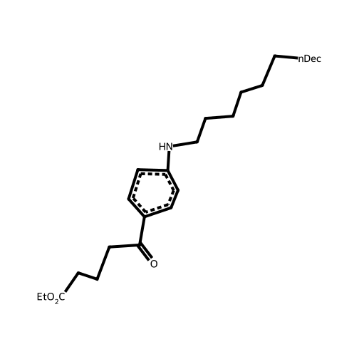 CCCCCCCCCCCCCCCCNc1ccc(C(=O)CCCC(=O)OCC)cc1